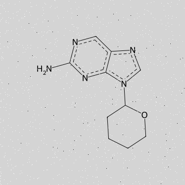 Nc1ncc2ncn(C3CCCCO3)c2n1